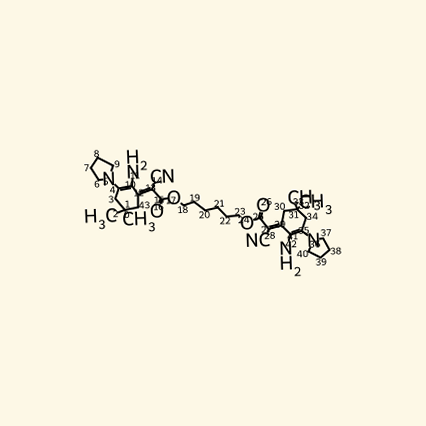 CC1(C)CC(N2CCCC2)=C(N)/C(=C(\C#N)C(=O)OCCCCCCOC(=O)/C(C#N)=C2\CC(C)(C)CC(N3CCCC3)=C2N)C1